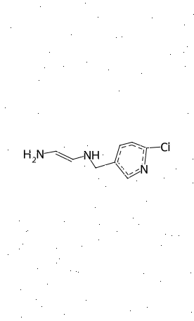 NC=CNCc1ccc(Cl)nc1